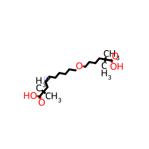 CC(C)(C/C=C\CCCCCOCCCCC(C)(C)C(=O)O)C(=O)O